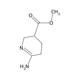 COC(=O)C1CCC(N)=NC1